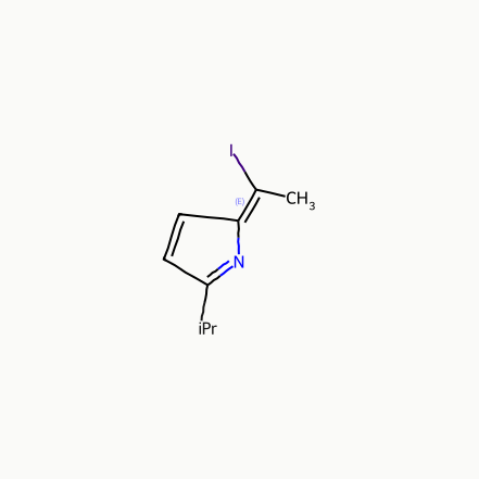 C/C(I)=C1/C=CC(C(C)C)=N1